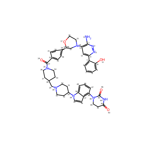 Nc1nnc(-c2ccccc2O)cc1N1CCO[C@H](c2ccc(C(=O)N3CCC(CN4CCC(n5ccc6c(N7CCC(=O)NC7=O)cccc65)CC4)CC3)cc2)C1